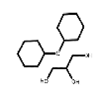 C1CCC(OC2CCCCC2)CC1.OCC(O)CO